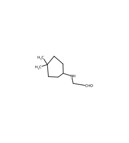 CC1(C)CCC(NC[C]=O)CC1